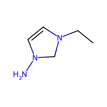 CCN1C=CN(N)C1